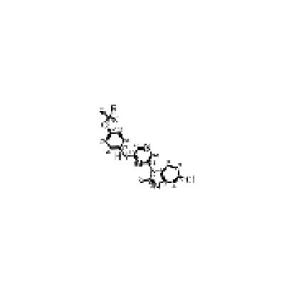 Cc1nc2cc(Cl)ccc2n1-c1cncc(Nc2ccc(OC(F)(F)F)cc2)n1